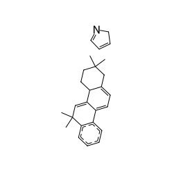 C1=CCN=C1.CC1(C)CCC2C(=CC=C3C2=CC(C)(C)c2ccccc23)C1